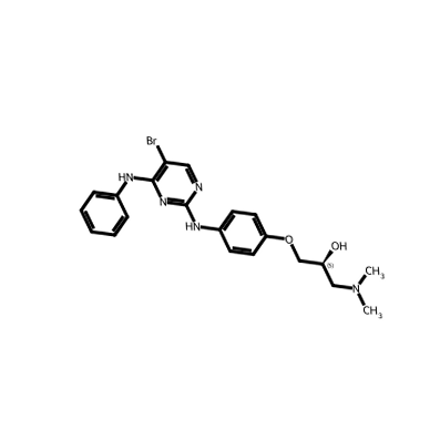 CN(C)C[C@H](O)COc1ccc(Nc2ncc(Br)c(Nc3ccccc3)n2)cc1